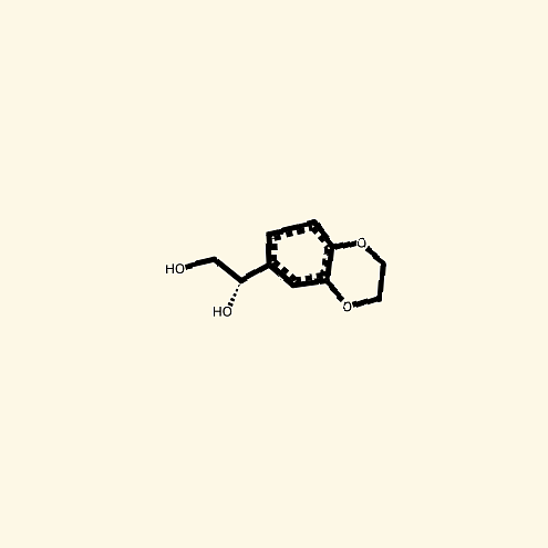 OC[C@@H](O)c1ccc2c(c1)OCCO2